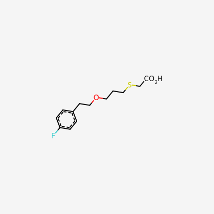 O=C(O)CSCCCOCCc1ccc(F)cc1